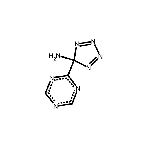 NC1(c2ncncn2)N=NN=N1